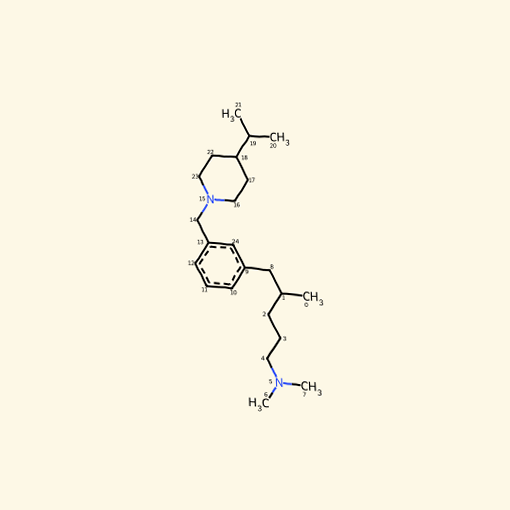 CC(CCCN(C)C)Cc1cccc(CN2CCC(C(C)C)CC2)c1